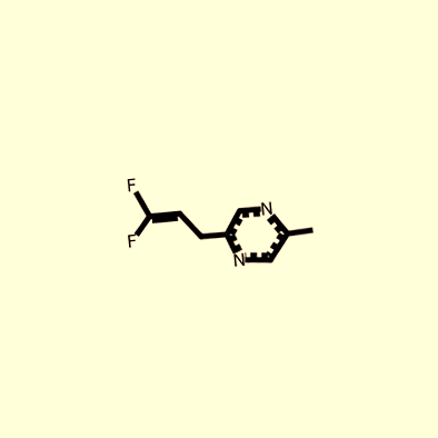 Cc1cnc(CC=C(F)F)cn1